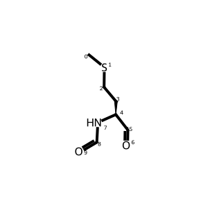 CSCC[C@@H]([C]=O)NC=O